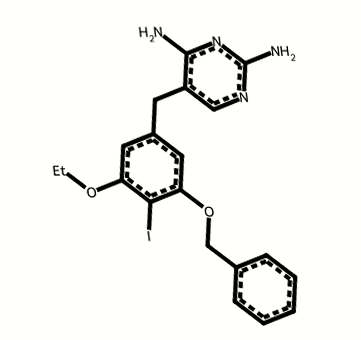 CCOc1cc(Cc2cnc(N)nc2N)cc(OCc2ccccc2)c1I